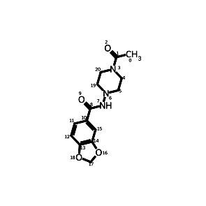 CC(=O)N1CCN(NC(=O)c2ccc3c(c2)OCO3)CC1